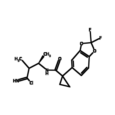 CC(C(=N)Cl)[C@@H](C)NC(=O)C1(c2ccc3c(c2)OC(F)(F)O3)CC1